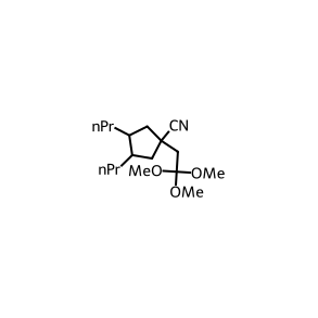 CCCC1CC(C#N)(CC(OC)(OC)OC)CC1CCC